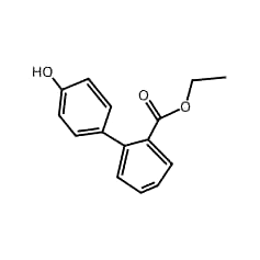 CCOC(=O)c1ccccc1-c1ccc(O)cc1